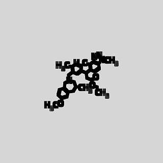 CCOC(=O)CC(c1ccc(C)c(CN2Cc3ccc(OC)cc3CC(C)C2)c1)c1ccc2c(nnn2C)c1C